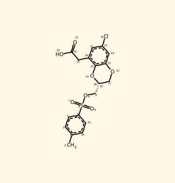 Cc1ccc(S(=O)(=O)OC[C@H]2COc3cc(Cl)cc(CC(=O)O)c3O2)cc1